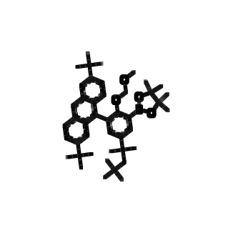 COCOc1c(B2OC(C)(C)C(C)(C)O2)cc(C(C)(C)CC(C)(C)C)cc1-c1c2ccc(C(C)(C)C)cc2cc2ccc(C(C)(C)C)cc12